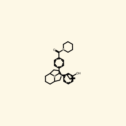 C=CCN1CCC2CCCC(C1)N2C(c1ccc(C(=O)N2CCCCC2)cc1)c1cccc(O)c1